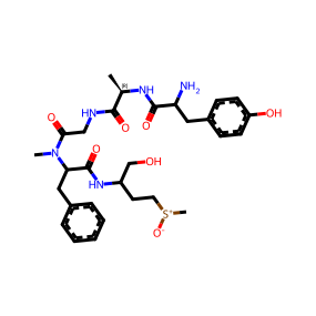 C[C@@H](NC(=O)C(N)Cc1ccc(O)cc1)C(=O)NCC(=O)N(C)C(Cc1ccccc1)C(=O)NC(CO)CC[S+](C)[O-]